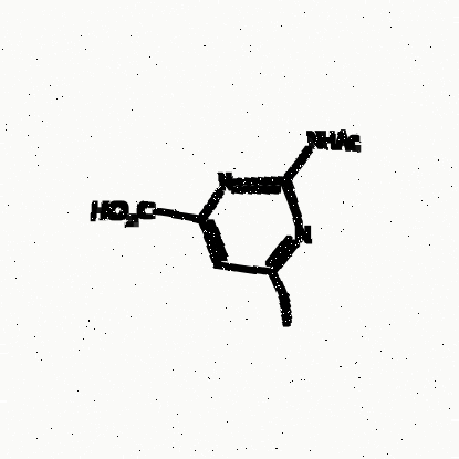 CC(=O)Nc1nc(C)cc(C(=O)O)n1